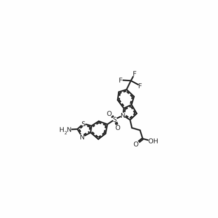 Nc1nc2ccc(S(=O)(=O)n3c(CCC(=O)O)cc4cc(C(F)(F)F)ccc43)cc2s1